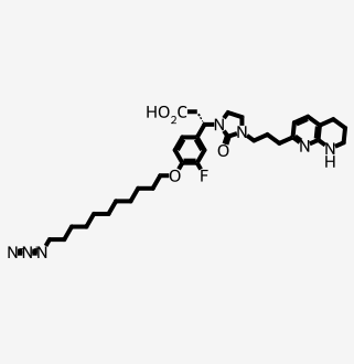 [N-]=[N+]=NCCCCCCCCCCCOc1ccc([C@H](CC(=O)O)N2CCN(CCCc3ccc4c(n3)NCCC4)C2=O)cc1F